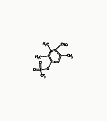 Cc1cc(OS(=O)(=O)C(F)(F)F)c(C)c(C)c1C=O